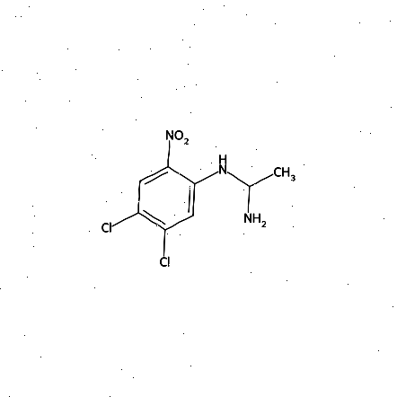 CC(N)Nc1cc(Cl)c(Cl)cc1[N+](=O)[O-]